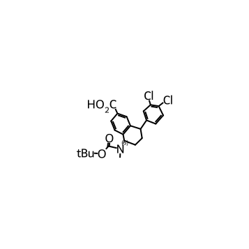 CN(C(=O)OC(C)(C)C)[C@H]1CCC(c2ccc(Cl)c(Cl)c2)c2cc(C(=O)O)ccc21